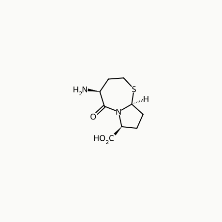 N[C@H]1CCS[C@H]2CC[C@@H](C(=O)O)N2C1=O